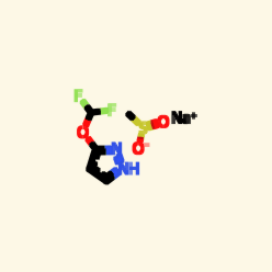 CS(=O)[O-].FC(F)Oc1cc[nH]n1.[Na+]